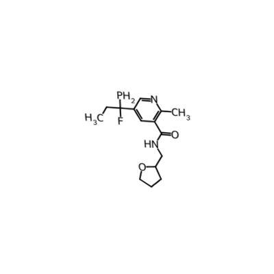 CCC(F)(P)c1cnc(C)c(C(=O)NCC2CCCO2)c1